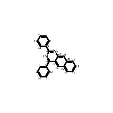 c1ccc(-c2nc(-c3ccccc3)c3cc4ccccc4cc3n2)cc1